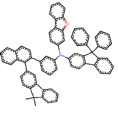 CC1(C)c2ccccc2-c2cc(-c3c(-c4cccc(N(c5ccc6c(c5)C(c5ccccc5)(c5ccccc5)c5ccccc5-6)c5ccc6c(c5)oc5ccccc56)c4)ccc4ccccc34)ccc21